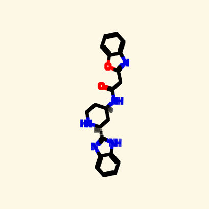 O=C(Cc1nc2ccccc2o1)N[C@@H]1CCN[C@@H](c2nc3ccccc3[nH]2)C1